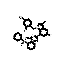 Cc1cn(Cc2ccc(Cl)cc2Cl)c2c(-c3nnc(NP(=O)(c4ccccc4)c4ccccc4)o3)cc(F)cc12